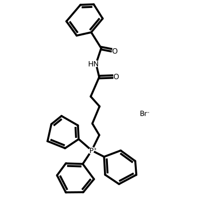 O=C(CCCC[P+](c1ccccc1)(c1ccccc1)c1ccccc1)NC(=O)c1ccccc1.[Br-]